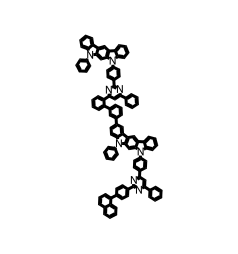 c1ccc(-c2cc(-c3ccc(-n4c5ccccc5c5cc6c7cc(-c8cccc(-c9ccccc9-c9cc(-c%10ccccc%10)nc(-c%10ccc(-n%11c%12ccccc%12c%12cc%13c%14ccccc%14n(-c%14ccccc%14)c%13cc%12%11)cc%10)n9)c8)ccc7n(-c7ccccc7)c6cc54)cc3)nc(-c3ccc(-c4cccc5ccccc45)cc3)n2)cc1